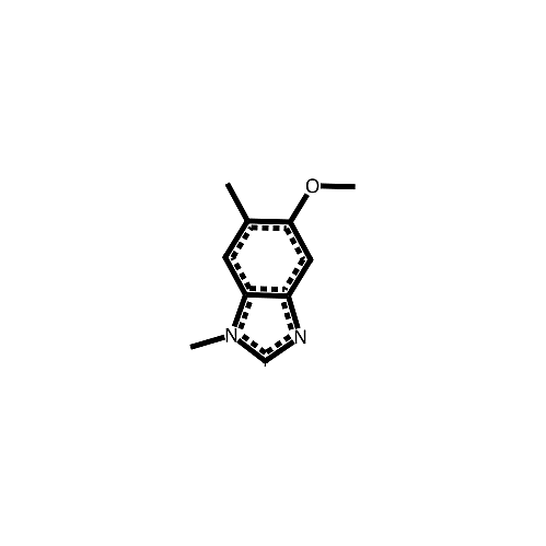 COc1cc2n[c]n(C)c2cc1C